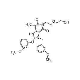 Cn1c2c(c(=O)n(CCOCCO)c1=O)N(Cc1cccc(OC(F)(F)F)c1)C(Oc1cccc(OC(F)(F)F)c1)N2